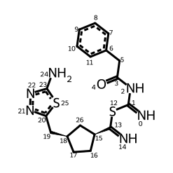 N=C(NC(=O)Cc1ccccc1)SC(=N)[C@H]1CC[C@@H](Cc2nnc(N)s2)C1